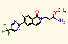 COC(N)CCn1ccc2cc(-c3ncc(C(F)(F)F)cn3)c(F)cc2c1=O